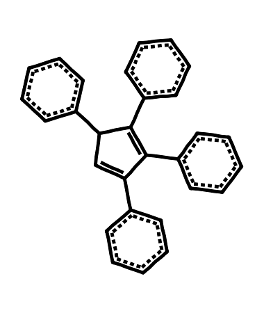 C1=C(c2ccccc2)C(c2ccccc2)=C(c2ccccc2)C1c1ccccc1